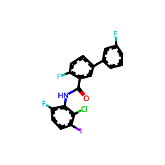 O=C(Nc1c(F)ccc(I)c1Cl)c1cc(-c2cccc(F)c2)ccc1F